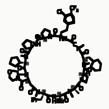 CC[C@H](C)[C@@H]1NC(=O)[C@H](CC(C)C)N(C)C(=O)C[C@@H](C(=O)N2CCOCC2)N(C)C(=O)[C@H](C2CCCC2)N(C)C(=O)C2(CCCC2)NC(=O)[C@@H]2CCCN2C(=O)[C@H](CCc2ccc(C(F)(F)F)c(Cl)c2)NC(=O)CN(C)C(=O)[C@H](CC2CCCCC2)N(C)C(=O)[C@@H]2CCN2C(=O)[C@H](C)N(C)C1=O